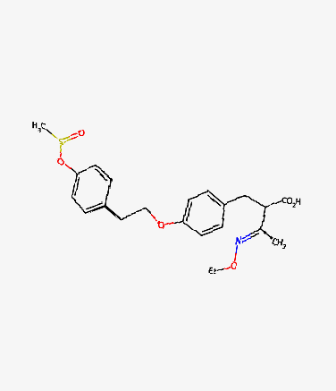 CCON=C(C)C(Cc1ccc(OCCc2ccc(OS(C)=O)cc2)cc1)C(=O)O